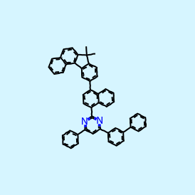 CC1(C)c2ccc(-c3ccc(-c4nc(-c5ccccc5)cc(-c5cccc(-c6ccccc6)c5)n4)c4ccccc34)cc2-c2c1ccc1ccccc21